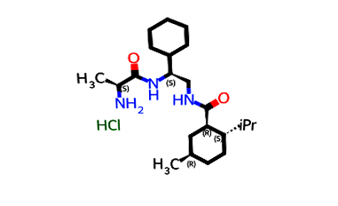 CC(C)[C@@H]1CC[C@@H](C)C[C@H]1C(=O)NC[C@@H](NC(=O)[C@H](C)N)C1CCCCC1.Cl